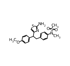 COc1ccc(C(Cc2ccc(N(C)S(C)(=O)=O)cc2)c2csc(N)n2)cc1